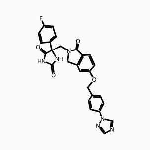 O=C1NC(=O)[C@](CN2Cc3cc(OCc4ccc(-n5cncn5)cc4)ccc3C2=O)(c2ccc(F)cc2)N1